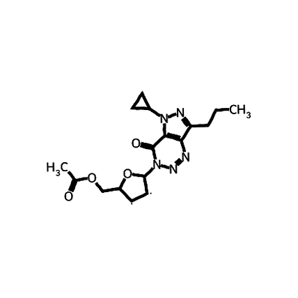 CCCc1nn(C2CC2)c2c(=O)n(C3[CH][CH]C(COC(C)=O)O3)nnc12